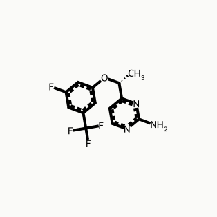 C[C@@H](Oc1cc(F)cc(C(F)(F)F)c1)c1ccnc(N)n1